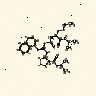 CSCCC(NC(=O)CN(Cc1cccc2ccccc12)C[C@@H]1CCCN1C(=O)CN(C)C)C(=O)OC(C)C